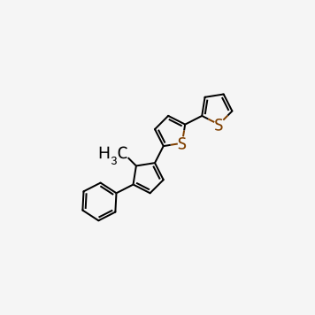 CC1C(c2ccccc2)=CC=C1c1ccc(-c2cccs2)s1